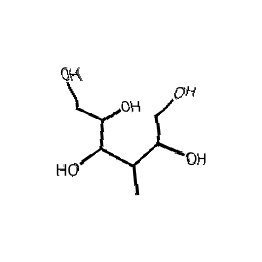 CC(C(O)CO)C(O)C(O)CO